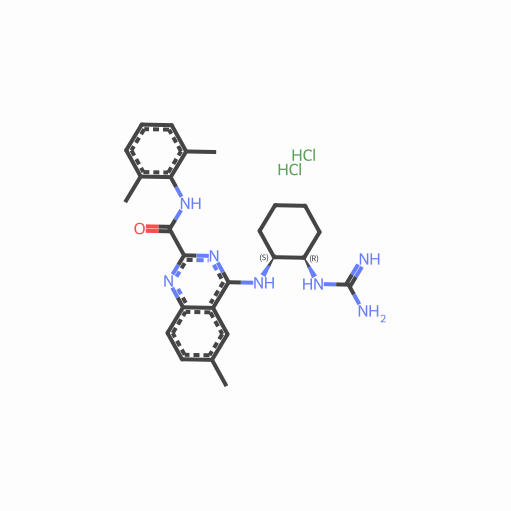 Cc1ccc2nc(C(=O)Nc3c(C)cccc3C)nc(N[C@H]3CCCC[C@H]3NC(=N)N)c2c1.Cl.Cl